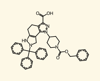 O=C(O)c1nn(C2CCN(C(=O)OCc3ccccc3)CC2)c2c1CCC1=C2CN(C(c2ccccc2)(c2ccccc2)c2ccccc2)N1